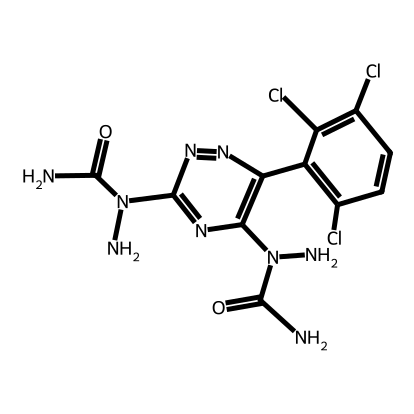 NC(=O)N(N)c1nnc(-c2c(Cl)ccc(Cl)c2Cl)c(N(N)C(N)=O)n1